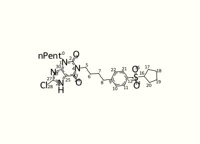 CCCCCn1c(=O)n(CCCCc2ccc(S(=O)(=O)C3CCCC3)cc2)c(=O)c2[nH]c(Cl)nc21